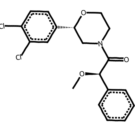 CO[C@@H](C(=O)N1CCO[C@@H](c2ccc(Cl)c(Cl)c2)C1)c1ccccc1